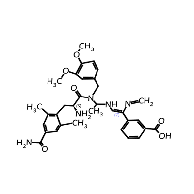 C=N/C(=C\NC(C)N(Cc1ccc(OC)c(OC)c1)C(=O)[C@@H](N)Cc1c(C)cc(C(N)=O)cc1C)c1cccc(C(=O)O)c1